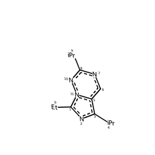 CCc1nc(C(C)C)c2cnc(C(C)C)nn12